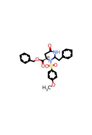 COc1ccc(S(=O)(=O)N2C(Cc3ccccc3)NC(=O)C[C@@H]2C(=O)OCc2ccccc2)cc1